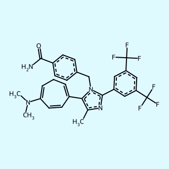 Cc1nc(-c2cc(C(F)(F)F)cc(C(F)(F)F)c2)n(Cc2ccc(C(N)=O)cc2)c1C1=CCC=C(N(C)C)C=C1